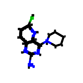 Nc1nc(N2CCCCC2)c2nc(Cl)ccc2n1